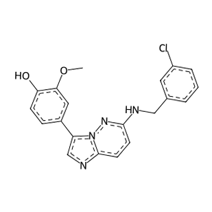 COc1cc(-c2cnc3ccc(NCc4cccc(Cl)c4)nn23)ccc1O